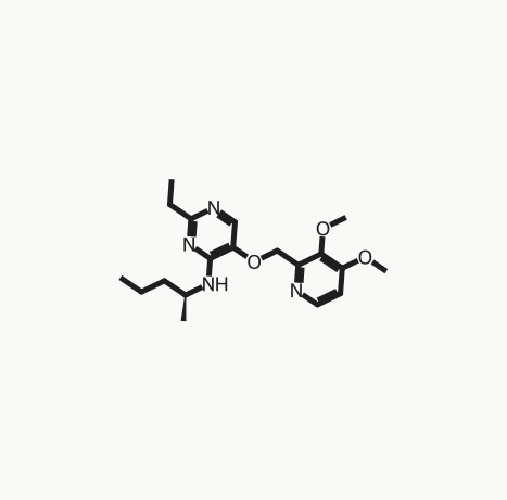 CCC[C@H](C)Nc1nc(CC)ncc1OCc1nccc(OC)c1OC